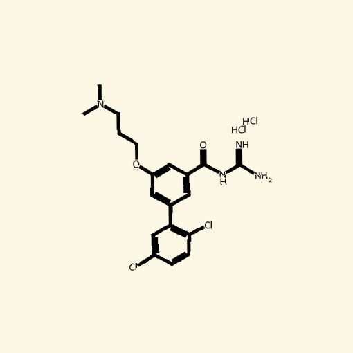 CN(C)CCCOc1cc(C(=O)NC(=N)N)cc(-c2cc(Cl)ccc2Cl)c1.Cl.Cl